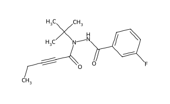 CCC#CC(=O)N(NC(=O)c1cccc(F)c1)C(C)(C)C